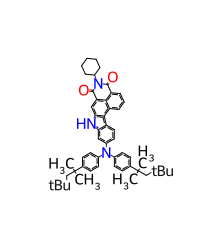 CC(C)(C)CC(C)(C)c1ccc(N(c2ccc(C(C)(C)CC(C)(C)C)cc2)c2ccc3c(c2)[nH]c2cc4c5c(cccc5c23)C(=O)N(C2CCCCC2)C4=O)cc1